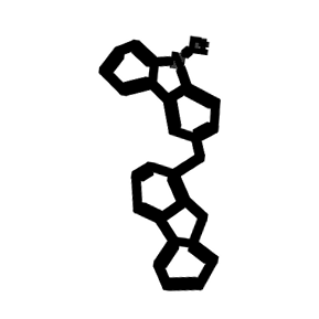 CCn1c2ccccc2c2cc(Cc3cccc4c3Cc3ccccc3-4)ccc21